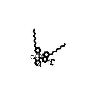 CCCCCCCCc1ccc(N(c2ccc(CCCCCCCC)cc2)C2(c3ccc(N(CC)CC)cc3)OC(=O)c3ccncc32)cc1